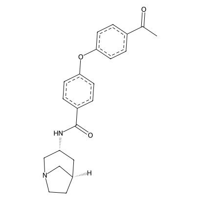 CC(=O)c1ccc(Oc2ccc(C(=O)N[C@@H]3C[C@H]4CCN(C4)C3)cc2)cc1